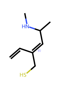 C=C/C(=C\C(C)NC)CS